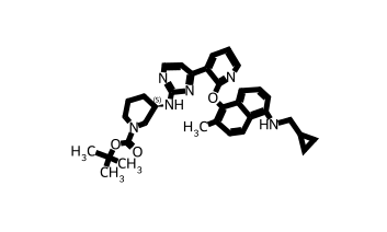 Cc1ccc2c(NCC3CC3)cccc2c1Oc1ncccc1-c1ccnc(N[C@H]2CCCN(C(=O)OC(C)(C)C)C2)n1